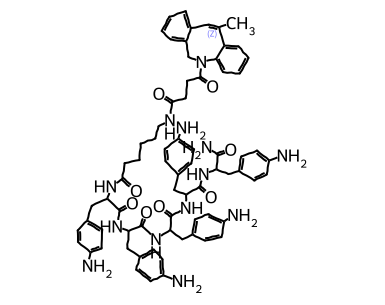 C/C1=C/c2ccccc2CN(C(=O)CCC(=O)NCCCCCC(=O)NC(Cc2ccc(N)cc2)C(=O)NC(Cc2ccc(N)cc2)C(=O)NC(Cc2ccc(N)cc2)C(=O)NC(Cc2ccc(N)cc2)C(=O)NC(Cc2ccc(N)cc2)C(N)=O)c2ccccc21